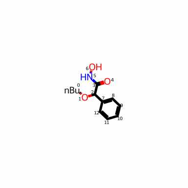 CCCCOC(C(=O)NO)c1ccccc1